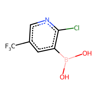 OB(O)c1cc(C(F)(F)F)cnc1Cl